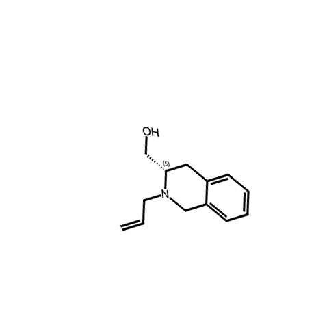 C=CCN1Cc2ccccc2C[C@H]1CO